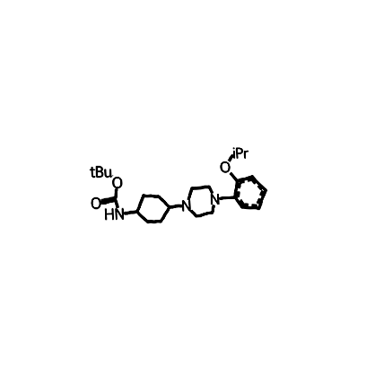 CC(C)Oc1ccccc1N1CCN(C2CCC(NC(=O)OC(C)(C)C)CC2)CC1